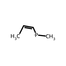 C/C=C\[P]C